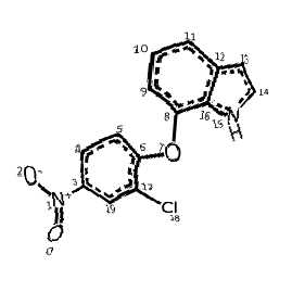 O=[N+]([O-])c1ccc(Oc2cccc3cc[nH]c23)c(Cl)c1